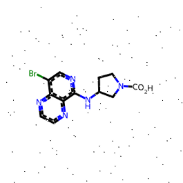 O=C(O)N1CCC(Nc2ncc(Br)c3nccnc23)C1